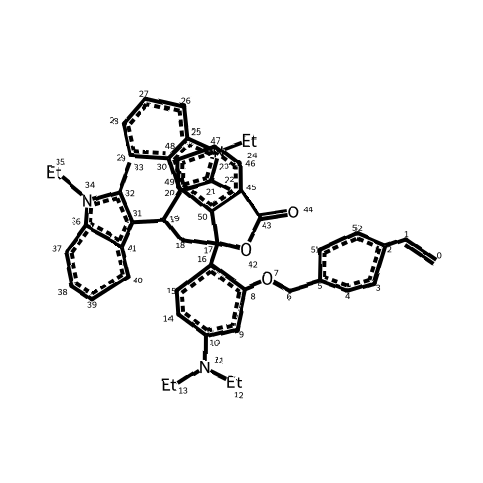 C=Cc1ccc(COc2cc(N(CC)CC)ccc2C2(CC(c3c(C)n(CC)c4ccccc34)c3c(C)n(CC)c4ccccc34)OC(=O)c3ccccc32)cc1